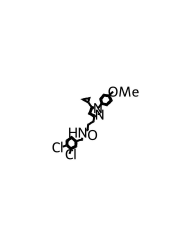 COc1ccc(-n2nc(CCC(=O)NCc3ccc(Cl)c(Cl)c3)cc2C2CC2)cc1